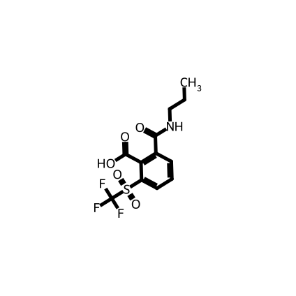 CCCNC(=O)c1cccc(S(=O)(=O)C(F)(F)F)c1C(=O)O